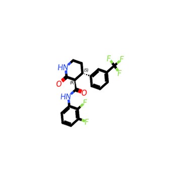 O=C1NCC[C@H](c2cccc(C(F)(F)F)c2)[C@H]1C(=O)Nc1cccc(F)c1F